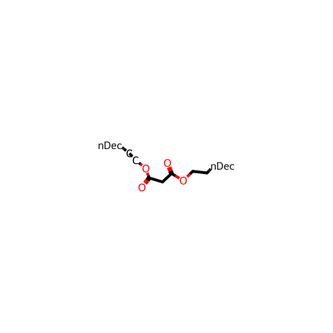 CCCCCCCCCCCCOC(=O)CC(=O)OCCCCCCCCCCCC